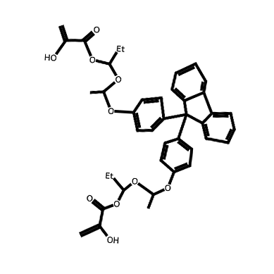 C=C(O)C(=O)OC(CC)OC(C)Oc1ccc(C2(c3ccc(OC(C)OC(CC)OC(=O)C(=C)O)cc3)c3ccccc3-c3ccccc32)cc1